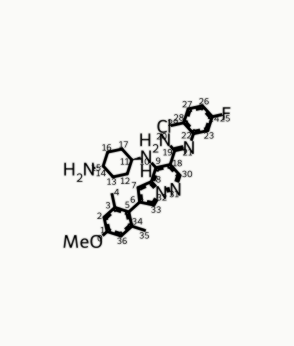 COc1cc(C)c(-c2cc3c(N[C@H]4CC[C@H](N)CC4)c(/C(N)=N/c4cc(F)ccc4Cl)cnn3c2)c(C)c1